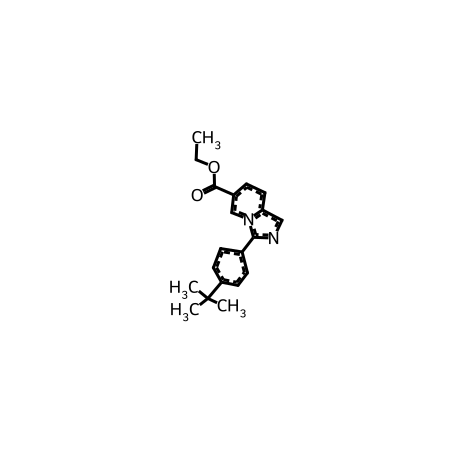 CCOC(=O)c1ccc2cnc(-c3ccc(C(C)(C)C)cc3)n2c1